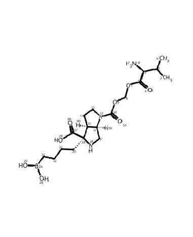 CC(C)C(N)C(=O)OCOC(=O)N1CC[C@H]2[C@@H]1CN[C@@]2(CCCCB(O)O)C(=O)O